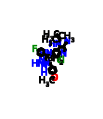 BC(Nc1cc(Cl)c2ncc(C#N)c(NCC(C)(C)C)c2c1)(C1=NNNN1Cc1ccc(OC)cc1)c1ccc(F)cc1